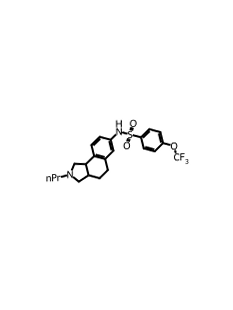 CCCN1CC2CCc3cc(NS(=O)(=O)c4ccc(OC(F)(F)F)cc4)ccc3C2C1